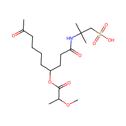 COC(C)C(=O)OC(CCCCC(C)=O)CCC(=O)NC(C)(C)CS(=O)(=O)O